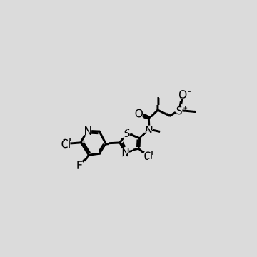 CC(C[S+](C)[O-])C(=O)N(C)c1sc(-c2cnc(Cl)c(F)c2)nc1Cl